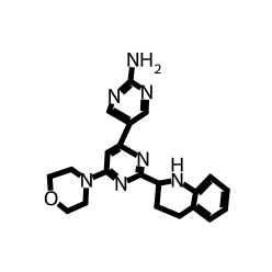 Nc1ncc(-c2cc(N3CCOCC3)nc(C3CCc4ccccc4N3)n2)cn1